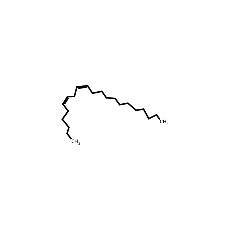 CCCCC/C=C\C/[C]=C\CCCCCCCCCCC